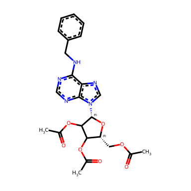 CC(=O)OC[C@H]1O[C@@H](n2cnc3c(NCc4ccccc4)ncnc32)C(OC(C)=O)C1OC(C)=O